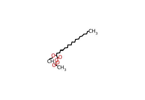 C=CCOC(CCC=CCCCCCCCCCCCCCC)C(=O)OOC(C)=O